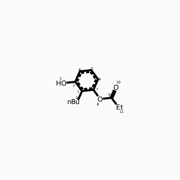 CCCCc1c(O)cccc1OC(=O)CC